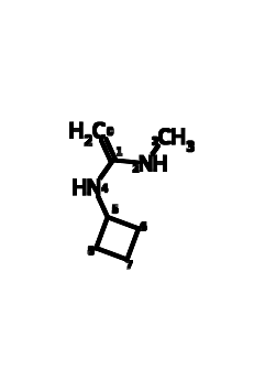 C=C(NC)NC1CCC1